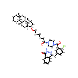 CC12CC[C@H]3C(CC[C@H]4CCCCC43C)[C@@H]1CCC2OCCCCCC(=O)N1CCN(C(=O)c2cc(Cc3n[nH]c(=O)c4ccccc34)ccc2F)CC1